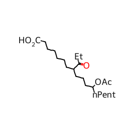 CCCCCC(CCCC(CCCCCCC(=O)O)C(=O)CC)OC(C)=O